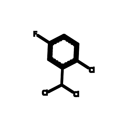 Fc1ccc(Cl)c(C(Cl)Cl)c1